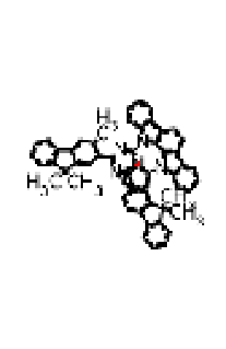 CC1C=C2C(=CC1c1nc(-c3ccc4c(c3)C(C)(C)c3ccccc3-4)nc(-n3c4ccccc4c4ccc5c6ccccc6n(-c6ccccc6)c5c43)n1)C(C)(C)c1ccccc12